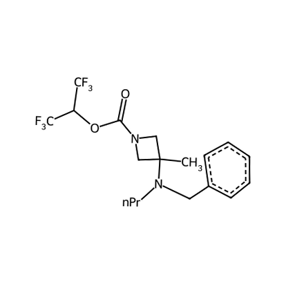 CCCN(Cc1ccccc1)C1(C)CN(C(=O)OC(C(F)(F)F)C(F)(F)F)C1